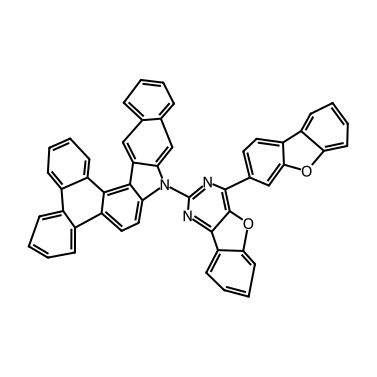 c1ccc2cc3c(cc2c1)c1c2c4ccccc4c4ccccc4c2ccc1n3-c1nc(-c2ccc3c(c2)oc2ccccc23)c2oc3ccccc3c2n1